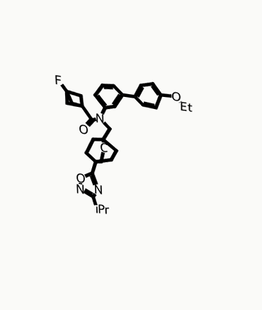 CCOc1ccc(-c2cccc(N(CC34CCC(c5nc(C(C)C)no5)(CC3)CC4)C(=O)C34CC(F)(C3)C4)c2)cc1